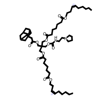 CCCCC/C=C\CCOC(=O)CCCCCC(=O)OCC(COC(=O)CCCCCC(=O)OCC/C=C\CCCCC)(COC(=O)CC12CC3CC(CC(C3)C1)C2)COC(=O)NCCN1CCCC1